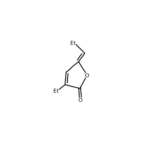 CC/C=C1\C=C(CC)C(=O)O1